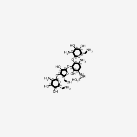 NC[C@H]1O[C@@H](O[C@H]2[C@H](O)[C@@H](O[C@H]3[C@@H](O)[C@H](N)C[C@H](N)[C@H]3O[C@H]3O[C@H](CN)[C@@H](O)[C@H](O)[C@H]3N)O[C@@H]2CO)[C@H](N)[C@H](O)[C@H]1O.O=S(=O)(O)O